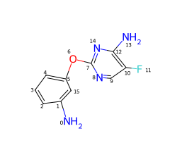 Nc1cccc(Oc2ncc(F)c(N)n2)c1